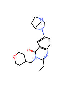 CCc1nc2ccc(N3CCN4CCC3CC4)cc2c(=O)n1CC1CCOCC1